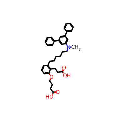 CN(CCCCCCc1cccc(OCCCC(=O)O)c1CCC(=O)O)c1cc(-c2ccccc2)cc(-c2ccccc2)c1